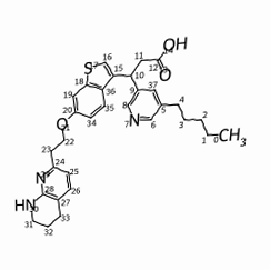 CCCCCc1cncc(C(CC(=O)O)c2csc3cc(OCCc4ccc5c(n4)NCCC5)ccc23)c1